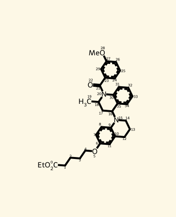 CCOC(=O)CCCCOc1ccc2c(c1)CCCN2C1CC(C)N(C(=O)c2cccc(OC)c2)c2ccccc21